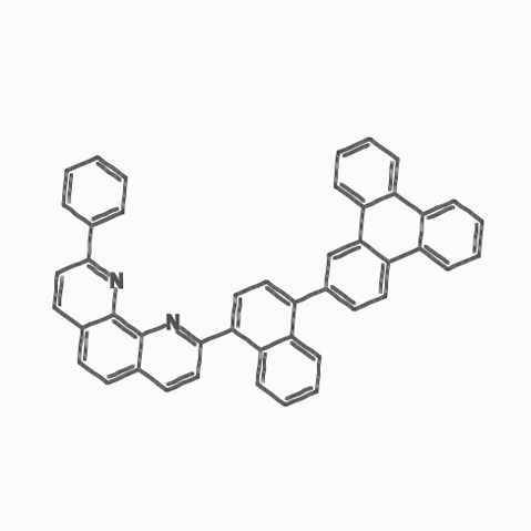 c1ccc(-c2ccc3ccc4ccc(-c5ccc(-c6ccc7c8ccccc8c8ccccc8c7c6)c6ccccc56)nc4c3n2)cc1